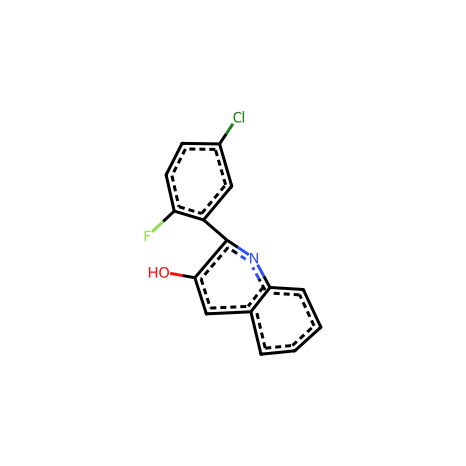 Oc1cc2ccccc2nc1-c1cc(Cl)ccc1F